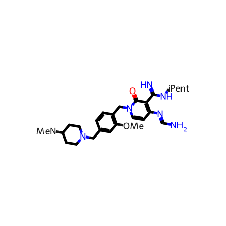 CCCC(C)NC(=N)c1c(/N=C/N)ccn(Cc2ccc(CN3CCC(NC)CC3)cc2OC)c1=O